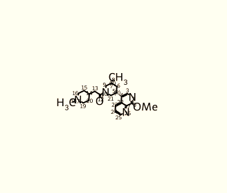 COc1ncc([C@H]2C[C@@H](C)CN(C(=O)CC3CCN(C)CC3)C2)c2cccnc12